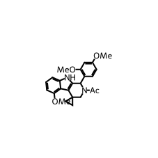 COc1ccc(C2c3[nH]c4cccc(OC)c4c3C3(CC3)CN2C(C)=O)c(OC)c1